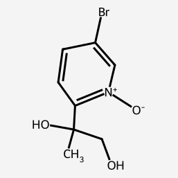 CC(O)(CO)c1ccc(Br)c[n+]1[O-]